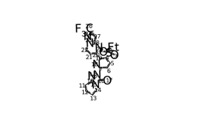 CCS(=O)(=O)c1ccc(-n2nc3ccccn3c2=O)nc1-c1ccn2nc(C(F)(F)F)cc2n1